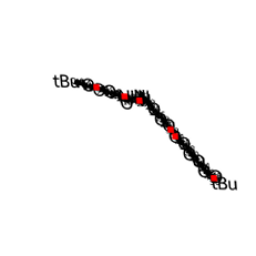 CC(C)(C)CCCOCCOCCOCCCNC(=O)CCc1cn(CCOCCOCCOCCOCCOCCOCCOCCOCCC(=O)C(C)(C)C)nn1